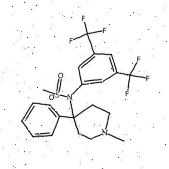 CN1CCC(c2ccccc2)(N(c2cc(C(F)(F)F)cc(C(F)(F)F)c2)S(C)(=O)=O)CC1